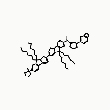 CCCCCCC1(CCCCCC)c2cc(NC3=CC(c4ccc5c(c4)CC5)=CCC3)ccc2-c2ccc(C3=CC=C4c5ccc(C(C)(CC)CC)cc5C(CCCCCC)(CCCCCC)C4C3)cc21